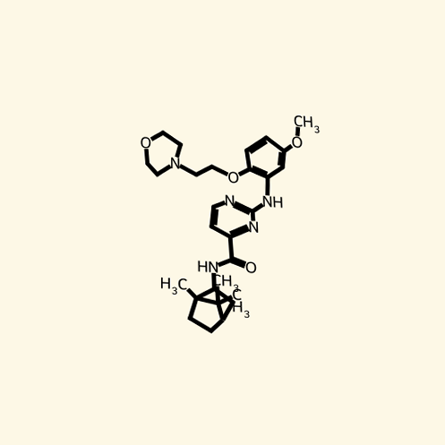 COc1ccc(OCCN2CCOCC2)c(Nc2nccc(C(=O)NC3CC4CCC3(C)C4(C)C)n2)c1